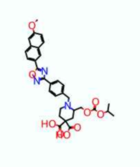 COc1ccc2cc(-c3nc(-c4ccc(CN5CCC(C(=O)O)(C(=O)O)CC5COC(=O)OC(C)C)cc4)no3)ccc2c1